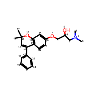 CN(C)CC(O)COc1ccc2c(c1)OC(C)(C)C=C2c1ccccc1